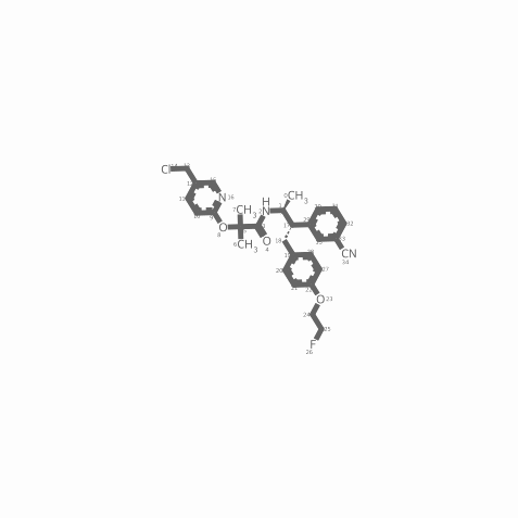 C[C@H](NC(=O)C(C)(C)Oc1ccc(CCl)cn1)[C@@H](Cc1ccc(OCCF)cc1)c1cccc(C#N)c1